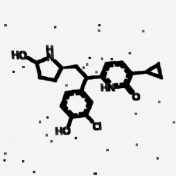 O=c1[nH]c(C(C[C@H]2CCC(O)N2)c2ccc(O)c(Cl)c2)ccc1C1CC1